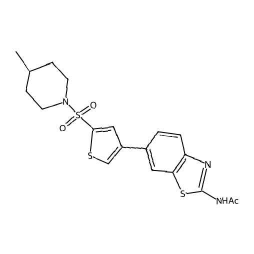 CC(=O)Nc1nc2ccc(-c3csc(S(=O)(=O)N4CCC(C)CC4)c3)cc2s1